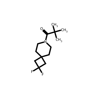 CC(C)(C)C(=O)N1CCC2(CC1)CC(F)(F)C2